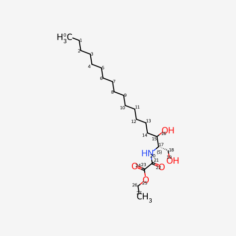 CCCCCCCCCCCCCCCC(O)[C@H](CO)NC(=O)C(=O)OCC